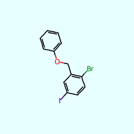 Brc1ccc(I)cc1COc1ccccc1